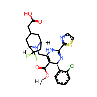 COC(=O)C1=C(CN2[C@H]3CC(CC(=O)O)C[C@@H]2C(F)(F)C3)NC(c2nccs2)=N[C@H]1c1ccccc1Cl